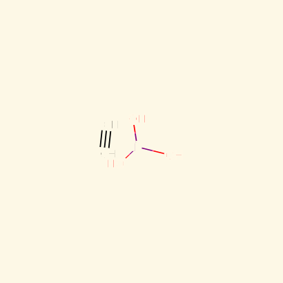 C#C.OP(O)O